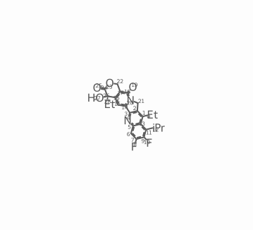 CCc1c2c(nc3cc(F)c(F)c(C(C)C)c13)-c1cc3c(c(=O)n1C2)COC(=O)[C@]3(O)CC